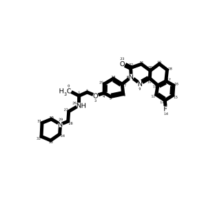 CC(COc1ccc(N2N=C3c4cc(F)ccc4CCC3CC2=O)cc1)NCCN1CCCCC1